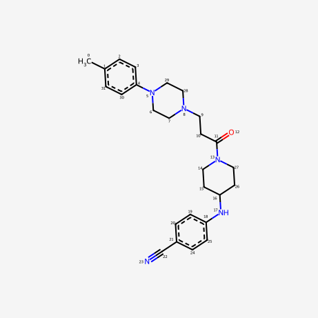 Cc1ccc(N2CCN(CCC(=O)N3CCC(Nc4ccc(C#N)cc4)CC3)CC2)cc1